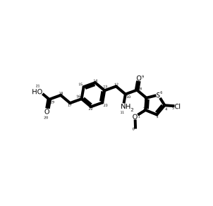 COc1cc(Cl)sc1C(=O)C(N)Cc1ccc(CCC(=O)O)cc1